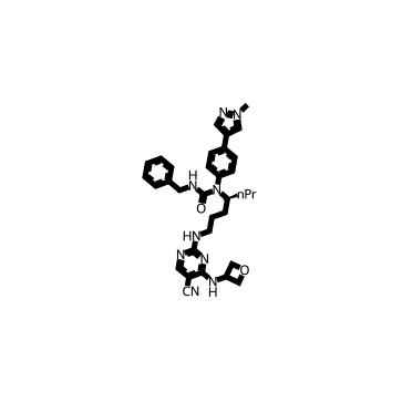 CCC[C@@H](CCCNc1ncc(C#N)c(NC2COC2)n1)N(C(=O)NCc1ccccc1)c1ccc(-c2cnn(C)c2)cc1